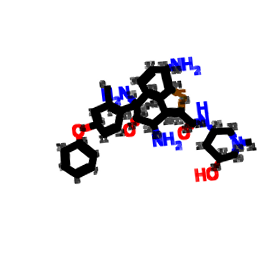 Cc1cc(Oc2ccccc2)ccc1C1(N)C(=O)C(N)c2c(C(=O)N[C@@H]3C[C@H](O)CN(C)C3)sc3c(N)ccc1c23